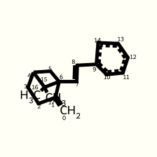 C=C1CCC2CC1(C=Cc1ccccc1)C2(C)C